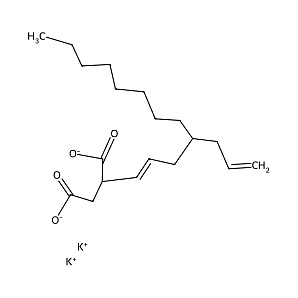 C=CCC(CC=CC(CC(=O)[O-])C(=O)[O-])CCCCCCCC.[K+].[K+]